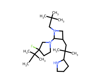 CC(C)(C)CN1CC(CC(C)(C)C2CCCN2)C1N1CCC(F)(C(C)(C)C)C1